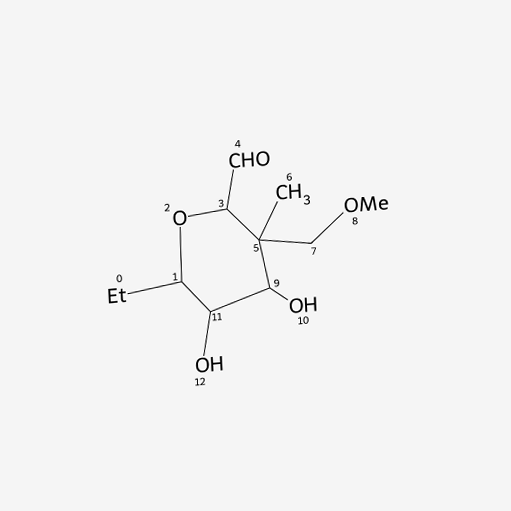 CCC1OC(C=O)C(C)(COC)C(O)C1O